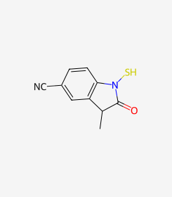 CC1C(=O)N(S)c2ccc(C#N)cc21